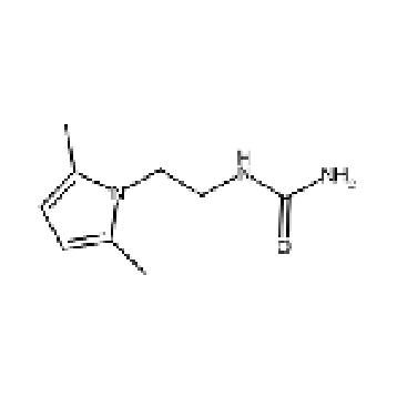 Cc1ccc(C)n1CCNC(N)=O